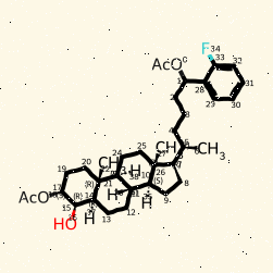 CC(=O)OC(CCC[C@@H](C)[C@H]1CC[C@H]2[C@@H]3CC[C@H]4[C@@H](O)[C@@H](OC(C)=O)CC[C@]4(C)[C@H]3CC[C@]12C)c1ccccc1F